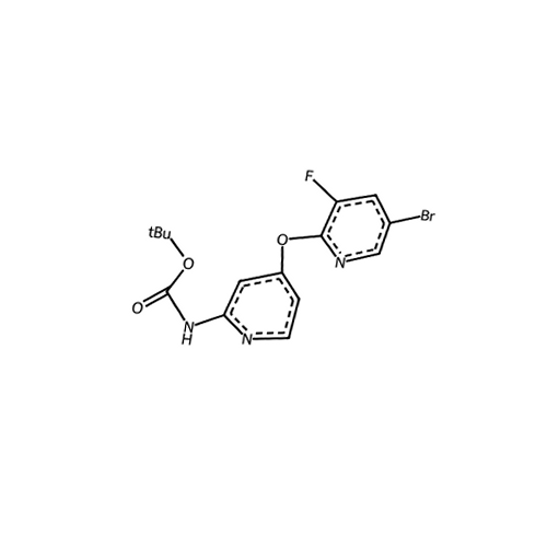 CC(C)(C)OC(=O)Nc1cc(Oc2ncc(Br)cc2F)ccn1